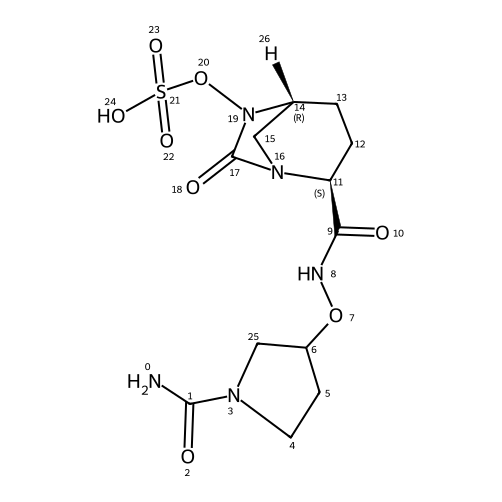 NC(=O)N1CCC(ONC(=O)[C@@H]2CC[C@@H]3CN2C(=O)N3OS(=O)(=O)O)C1